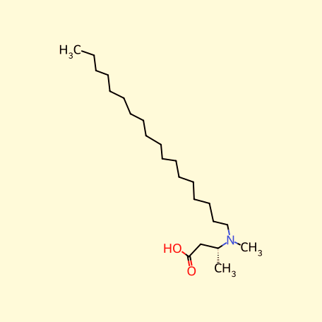 CCCCCCCCCCCCCCCCCCN(C)[C@H](C)CC(=O)O